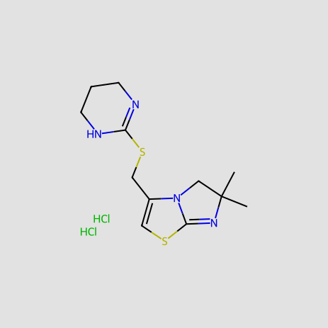 CC1(C)CN2C(CSC3=NCCCN3)=CSC2=N1.Cl.Cl